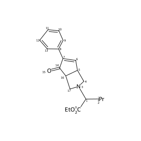 CCOC(=O)C(C(C)C)N1CC2C=C(c3ccccc3)C(=O)C2C1